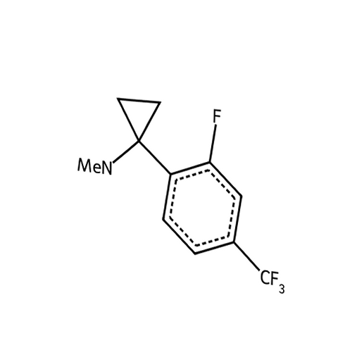 CNC1(c2ccc(C(F)(F)F)cc2F)CC1